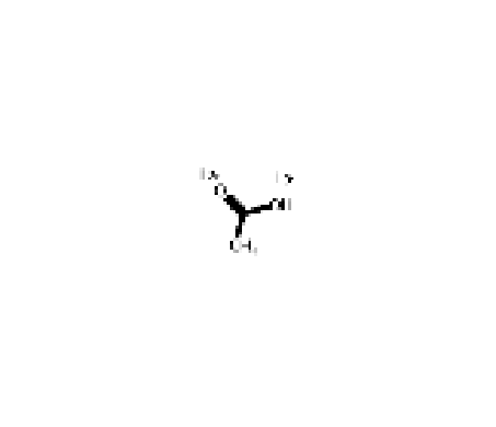 CC(=O)O.[La].[La]